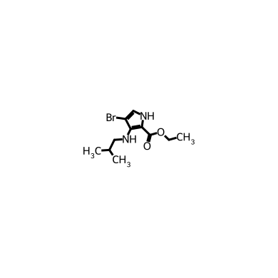 CCOC(=O)c1[nH]cc(Br)c1NCC(C)C